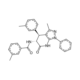 Cc1cccc(C(=O)N[C@H]2C(=O)Nc3c(c(C)nn3-c3ccccc3)[C@@H]2c2cccc(C)c2)c1